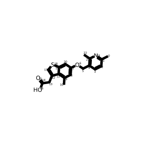 Cc1ccc(COc2cc(C)c3c(CC(=O)O)csc3c2)c(C)n1